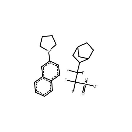 O=S(=O)([O-])C(F)(F)C(F)(F)C1CC2CCC1C2.c1ccc2cc([S+]3CCCC3)ccc2c1